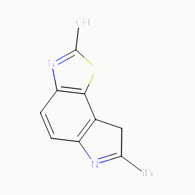 Cc1nc2ccc3c(c2s1)CC(C(C)C)=N3